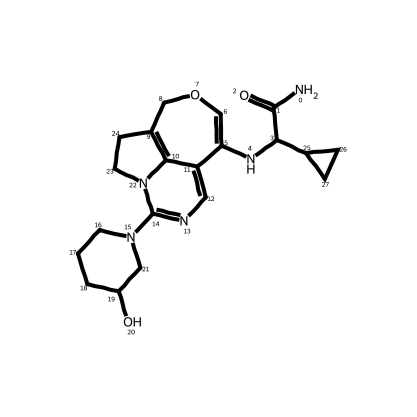 NC(=O)C(NC1=COCC2=C3C1=CN=C(N1CCCC(O)C1)N3CC2)C1CC1